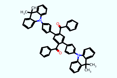 CC1(C)c2ccccc2N(c2ccc(-c3cc(C(=O)c4ccccc4)c(-c4ccc(N5c6ccccc6C(C)(C)c6ccccc65)cc4)cc3C(=O)c3ccccc3)cc2)c2ccccc21